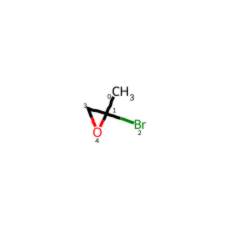 CC1(Br)CO1